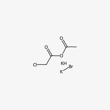 CC(=O)OC(=O)CCl.[KH].[K][Br]